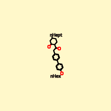 CCCCCCCC1CCC(C(=O)Cc2ccc(-c3ccc(OCCCCCC)cc3)cc2)C(=O)C1